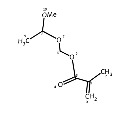 C=C(C)C(=O)OCOC(C)OC